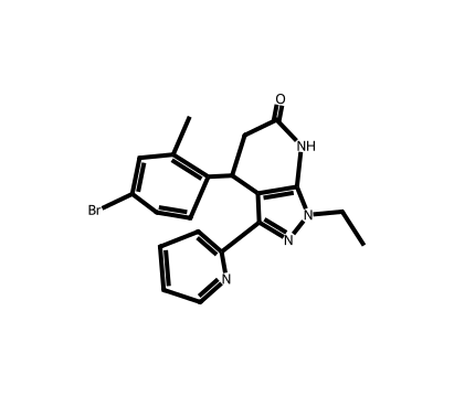 CCn1nc(-c2ccccn2)c2c1NC(=O)CC2c1ccc(Br)cc1C